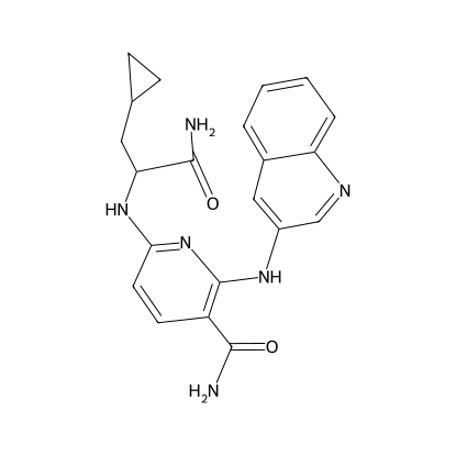 NC(=O)c1ccc(NC(CC2CC2)C(N)=O)nc1Nc1cnc2ccccc2c1